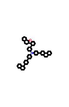 c1cc(-c2cccc3oc4c5ccccc5ccc4c23)cc(N(c2ccc(-c3ccc(-c4cccc5ccccc45)cc3)cc2)c2ccc(-c3ccc4c(ccc5ccccc54)c3)cc2)c1